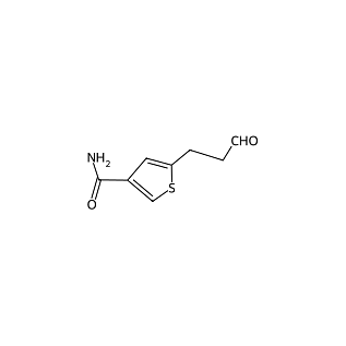 NC(=O)c1csc(CCC=O)c1